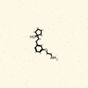 NCCOc1cccc(CCC2(O)CCCC2)c1